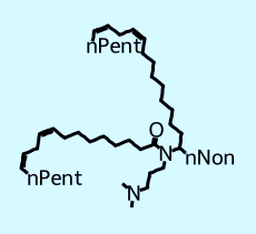 CCCCC/C=C\C/C=C\CCCCCCCCC(CCCCCCCCC)N(CCCN(C)C)C(=O)CCCCCCC/C=C\C/C=C\CCCCC